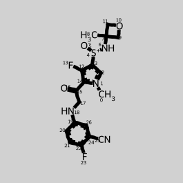 Cn1cc([S+]([O-])NC2(C)COC2)c(F)c1C(=O)CNc1ccc(F)c(C#N)c1